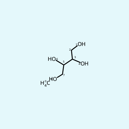 C.OCC(O)C(O)CO